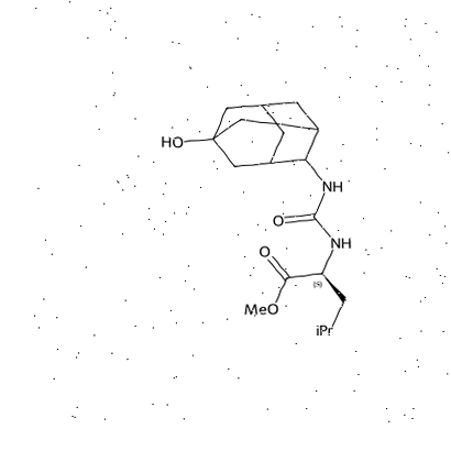 COC(=O)[C@H](CC(C)C)NC(=O)NC1C2CC3CC1CC(O)(C3)C2